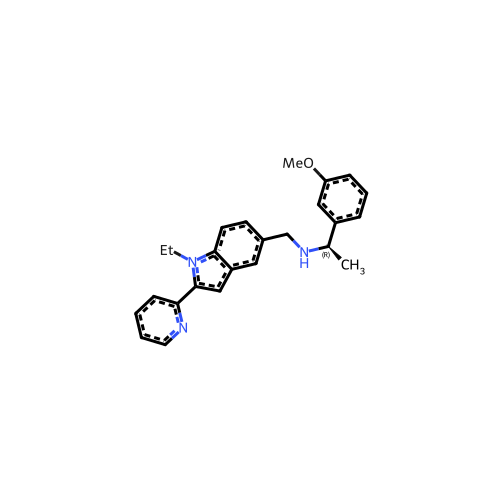 CCn1c(-c2ccccn2)cc2cc(CN[C@H](C)c3cccc(OC)c3)ccc21